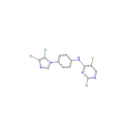 Fc1cnc(Cl)nc1Nc1ccc(-n2cnc(Cl)c2Cl)cc1